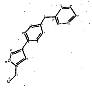 ClCc1cc(-c2ccc(Cc3ccccn3)cc2)no1